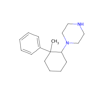 CC1(c2ccccc2)CCCCC1N1CCNCC1